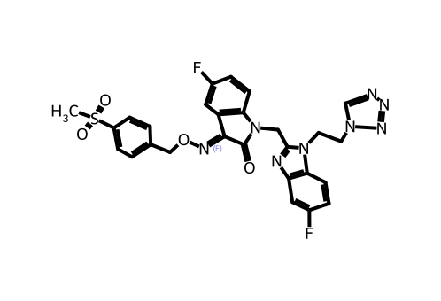 CS(=O)(=O)c1ccc(CO/N=C2/C(=O)N(Cc3nc4cc(F)ccc4n3CCn3cnnn3)c3ccc(F)cc32)cc1